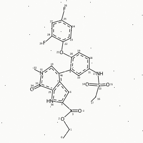 CCOC(=O)c1cc2c(-c3cc(NS(=O)(=O)CC)ccc3Oc3ccc(F)cc3F)cn(C)c(=O)c2[nH]1